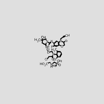 C#CCN1C(=O)COc2cc(F)c(/N=c3\snc4n3CC(C)(C)C4)cc21.CCOCN(C(=O)CCl)c1c(C)cccc1CC.O=C(O)CNCP(=O)(O)O